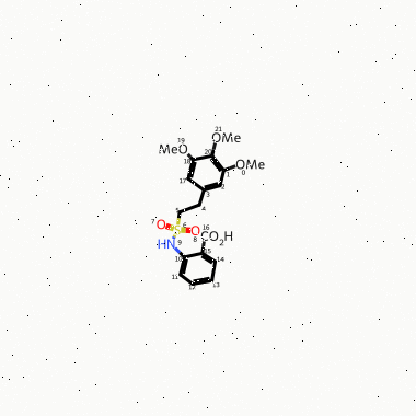 COc1cc(CCS(=O)(=O)Nc2ccccc2C(=O)O)cc(OC)c1OC